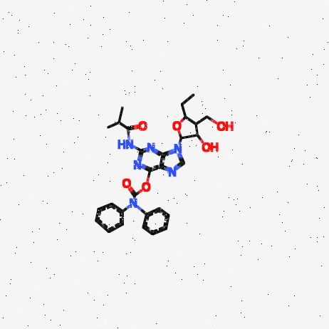 CCC1OC(n2cnc3c(OC(=O)N(c4ccccc4)c4ccccc4)nc(NC(=O)C(C)C)nc32)C(O)C1CO